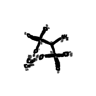 NC(P(=O)([O-])[O-])P(=O)([O-])[O-].[Ca+2].[Ca+2]